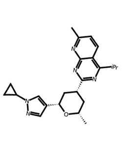 Cc1ccc2c(C(C)C)nc([C@H]3C[C@@H](c4cnn(C5CC5)c4)O[C@@H](C)C3)nc2n1